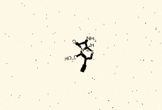 C#CC1=C(C(=O)O)N2C(=O)C(N)[C@H]2SC1